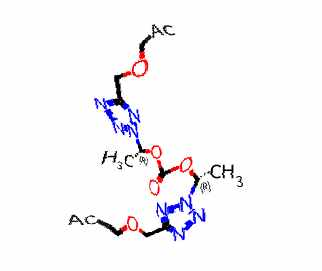 CC(=O)COCc1nnn([C@@H](C)OC(=O)O[C@H](C)n2nnc(COCC(C)=O)n2)n1